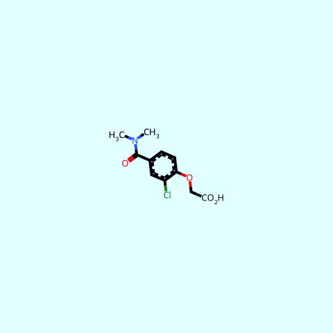 CN(C)C(=O)c1ccc(OCC(=O)O)c(Cl)c1